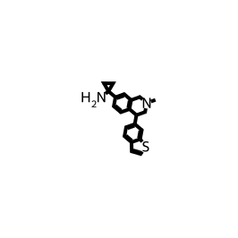 CN1Cc2cc(C3(N)CC3)ccc2C(c2ccc3ccsc3c2)C1